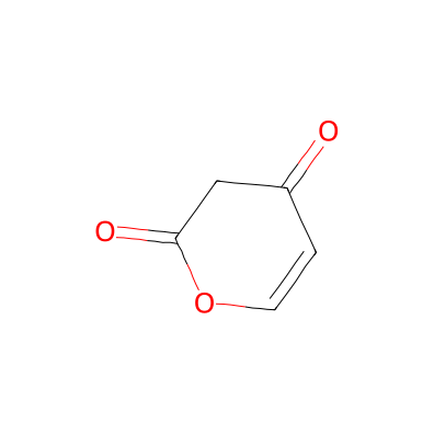 O=C1C=COC(=O)C1